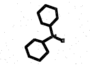 [Cl][Pd]([CH]1CCCCC1)[CH]1CCCCC1